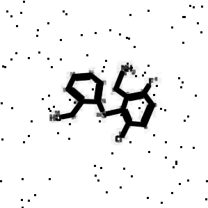 NCc1c(F)ccc(Cl)c1Sc1ccccc1CO